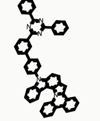 c1ccc(-c2nc(-c3ccccc3)nc(-c3cccc(-c4ccc(-n5c6ccccc6c6c5ccc5cc7c8ccccc8c8ccccc8n7c56)cc4)c3)n2)cc1